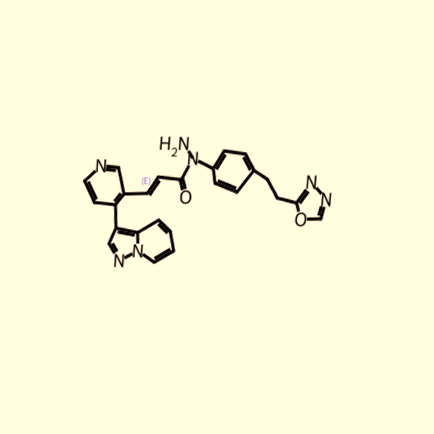 NN(C(=O)/C=C/c1cnccc1-c1cnn2ccccc12)c1ccc(CCc2nnco2)cc1